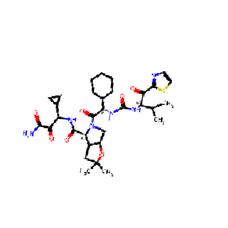 CC(C)[C@H](NC(=O)N[C@H](C(=O)N1CC2OC(C)(C)CC2[C@H]1C(=O)NC(C(=O)C(N)=O)C1CC1)C1CCCCC1)C(=O)c1nccs1